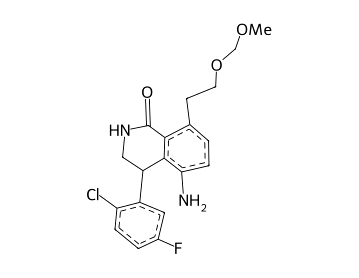 COCOCCc1ccc(N)c2c1C(=O)NCC2c1cc(F)ccc1Cl